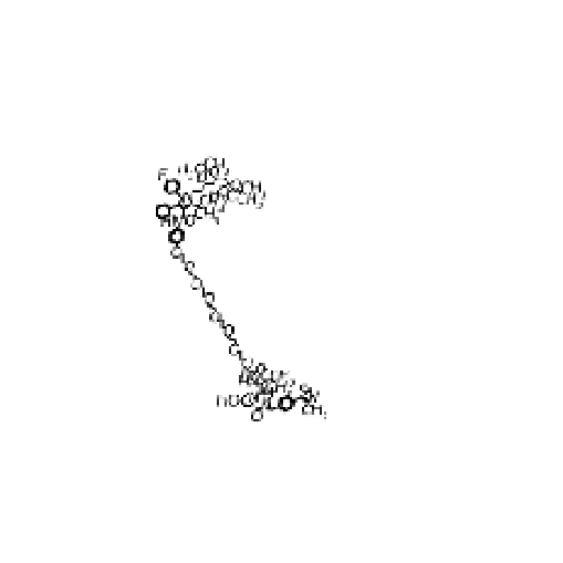 Cc1ncsc1-c1ccc(CNC(=O)[C@@H]2C[C@@H](O)CN2C(=O)[C@@H](NC(=O)COCCOCCOCCOCCOCCOCCOCCOc2ccc(NC(=O)c3c(-c4ccccc4)c(-c4ccc(F)cc4)n(CC[C@@H]4C[C@H](CC(=O)OC(C)(C)C)OC(C)(C)O4)c3C(C)C)cc2)C(C)(C)C)cc1